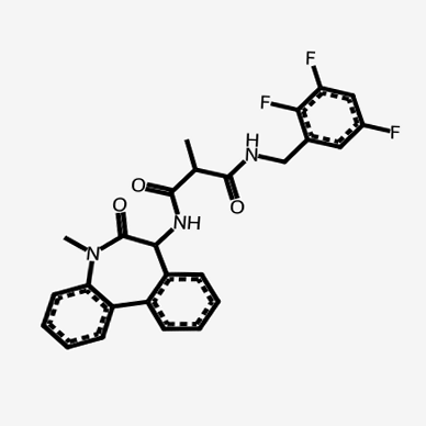 CC(C(=O)NCc1cc(F)cc(F)c1F)C(=O)NC1C(=O)N(C)c2ccccc2-c2ccccc21